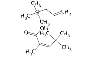 C=CC[Si](C)(C)C.CC(=CC(C)(C)C)C(=O)O